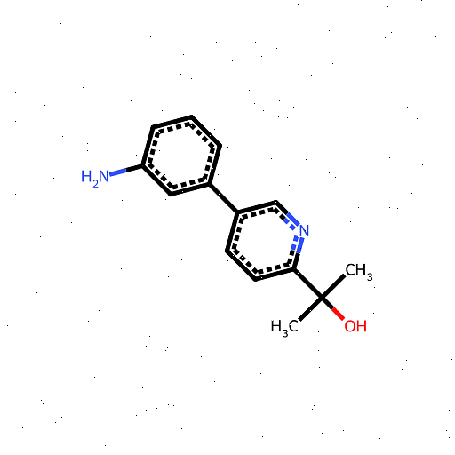 CC(C)(O)c1ccc(-c2cccc(N)c2)cn1